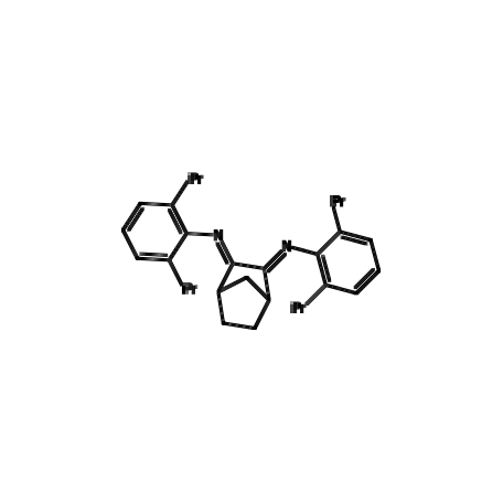 CC(C)c1cccc(C(C)C)c1N=C1C(=Nc2c(C(C)C)cccc2C(C)C)C2CCC1C2